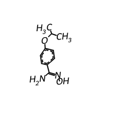 CC(C)Oc1ccc(C(N)=NO)cc1